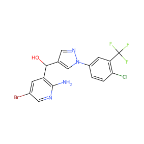 Nc1ncc(Br)cc1C(O)c1cnn(-c2ccc(Cl)c(C(F)(F)F)c2)c1